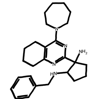 NC1(c2nc3c(c(N4CCCCCC4)n2)CCCC3)CCCC1NCc1ccccc1